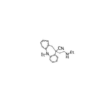 CCNCCC1(C#N)Cc2ccccc2N(CC)c2ccccc21